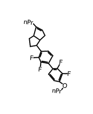 CCCOc1ccc(-c2ccc(C3CCC4C(CCC)=CCC43)c(F)c2F)c(F)c1F